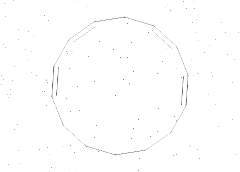 C1=CCC=CC=CCCCCCC=C1